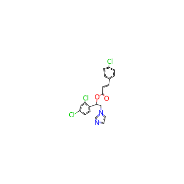 O=C(C=Cc1ccc(Cl)cc1)OC(Cn1ccnc1)c1ccc(Cl)cc1Cl